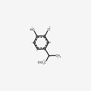 CCOC(=O)C(C)c1ccc(O)c(Cl)c1